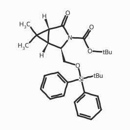 CC(C)(C)OC(=O)N1C(=O)[C@@H]2[C@H]([C@@H]1CO[Si](c1ccccc1)(c1ccccc1)C(C)(C)C)C2(C)C